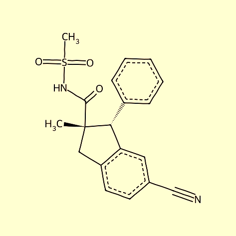 C[C@]1(C(=O)NS(C)(=O)=O)Cc2ccc(C#N)cc2[C@H]1c1ccccc1